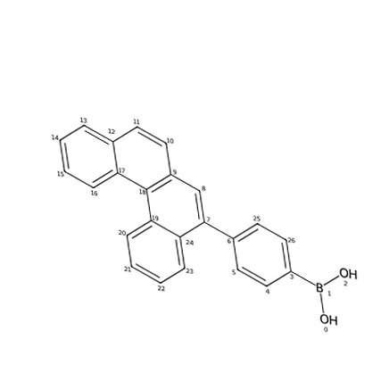 OB(O)c1ccc(-c2cc3ccc4ccccc4c3c3ccccc23)cc1